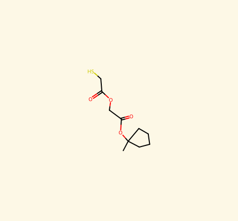 CC1(OC(=O)COC(=O)CS)CCCC1